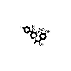 CC(C(O)c1ccc(O)c(S(C)(=O)=O)c1)N1CCC(O)(c2ccc(F)cc2)CC1